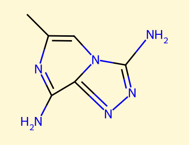 Cc1cn2c(N)nnc2c(N)n1